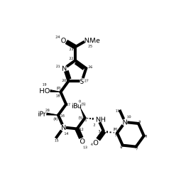 CC[C@H](C)[C@H](NC(=O)[C@H]1CCCCN1C)C(=O)N(C)[C@H](C[C@@H](O)c1nc(C(=O)NC)cs1)C(C)C